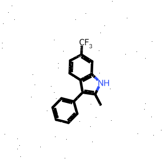 Cc1[nH]c2cc(C(F)(F)F)ccc2c1-c1ccccc1